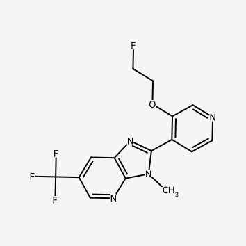 Cn1c(-c2ccncc2OCCF)nc2cc(C(F)(F)F)cnc21